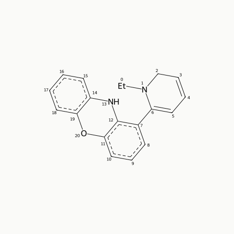 CCN1CC=CC=C1c1cccc2c1Nc1ccccc1O2